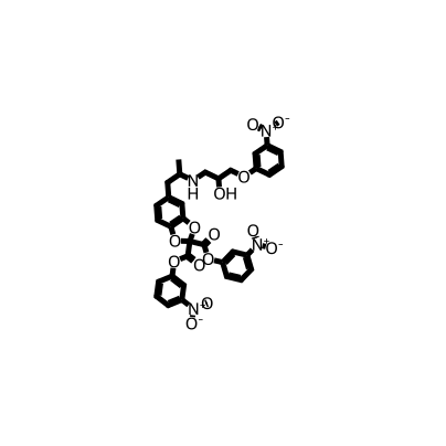 CC(Cc1ccc2c(c1)OC(C(=O)Oc1cccc([N+](=O)[O-])c1)(C(=O)Oc1cccc([N+](=O)[O-])c1)O2)NCC(O)COc1cccc([N+](=O)[O-])c1